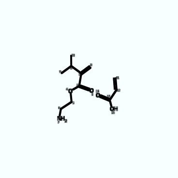 C=C(C(=O)OCCN)C(C)C.C=CC(=O)O